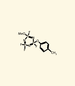 COP1(F)=NP(F)(Oc2ccc(C)cc2)=NP(F)(F)=N1